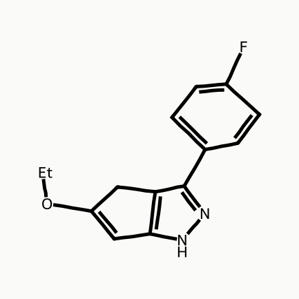 CCOC1=Cc2[nH]nc(-c3ccc(F)cc3)c2C1